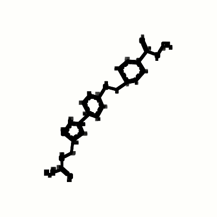 COC(=O)c1ccc(COc2ccc(-c3cc(COC(N)=O)on3)cc2)cc1